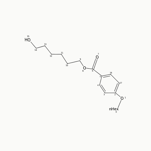 CCCCCCOc1ccc(C(=O)OCCCCCCO)cc1